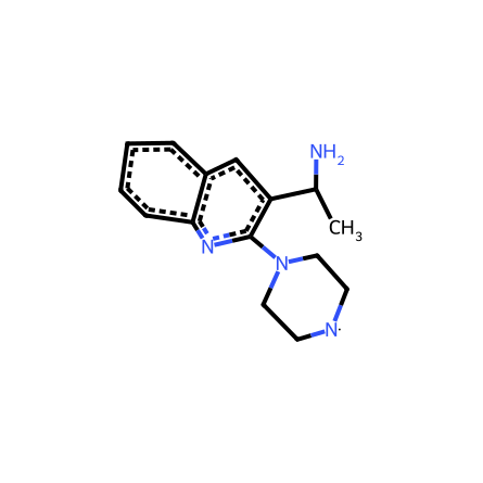 CC(N)c1cc2ccccc2nc1N1CC[N]CC1